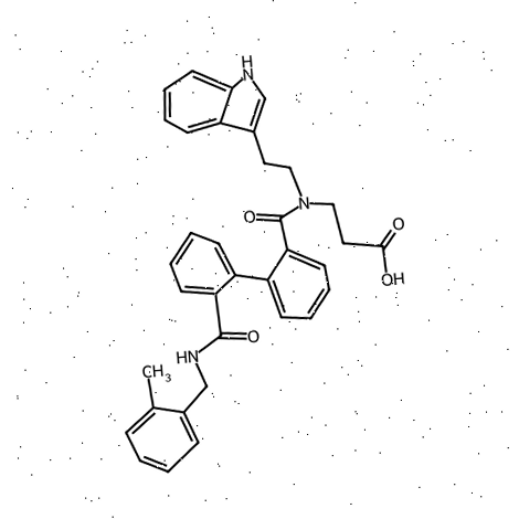 Cc1ccccc1CNC(=O)c1ccccc1-c1ccccc1C(=O)N(CCC(=O)O)CCc1c[nH]c2ccccc12